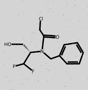 O=C(CCl)N(Cc1ccccc1)[C@@H](CO)C(F)F